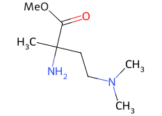 COC(=O)C(C)(N)CCN(C)C